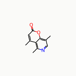 Cc1cnc(C)c2c(C)cc(=O)oc12